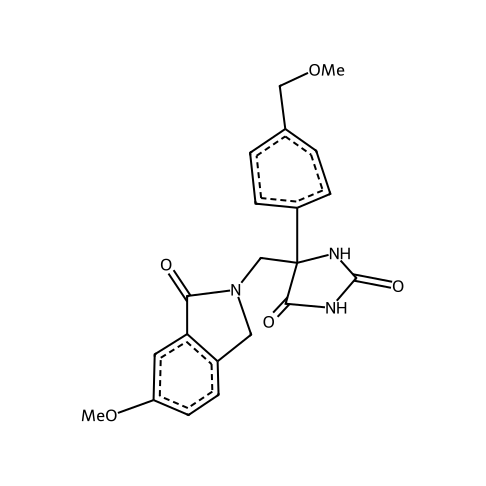 COCc1ccc(C2(CN3Cc4ccc(OC)cc4C3=O)NC(=O)NC2=O)cc1